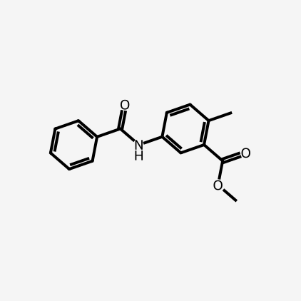 COC(=O)c1cc(NC(=O)c2ccccc2)ccc1C